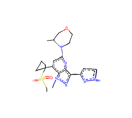 CC1COCCN1c1cc(C2(S(C)(=O)=O)CC2)c2c(n1)c(-c1cc[nH]n1)nn2C